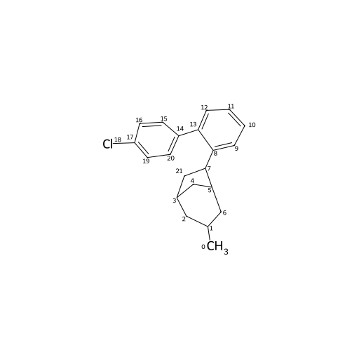 CC1CC2CC(C1)C(c1ccccc1-c1ccc(Cl)cc1)C2